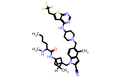 CCCCC(NC)C(=O)NC12C[C@@H](C)C(Cn3c(C#N)cc4c(C)c(CN5CCC(Nc6ncnc7sc(CC(F)(F)F)cc67)CC5)ccc43)(C1)C2